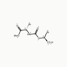 COC(=O)[C@@H](NC(=O)O[C@H](C(=O)O)C(C)C)C(C)C